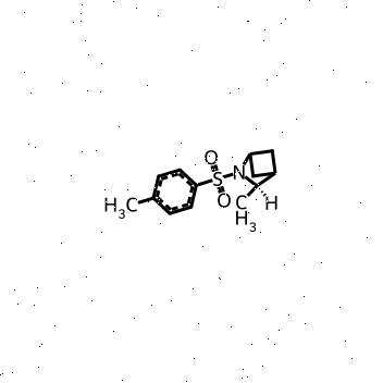 Cc1ccc(S(=O)(=O)N2C3CC(C3)[C@H]2C)cc1